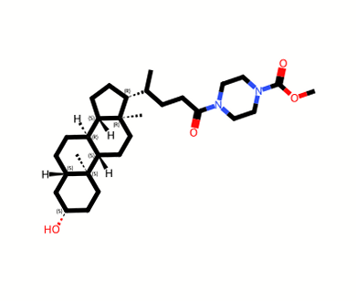 COC(=O)N1CCN(C(=O)CCC(C)[C@H]2CC[C@H]3[C@@H]4CC[C@H]5C[C@@H](O)CC[C@]5(C)[C@H]4CC[C@]23C)CC1